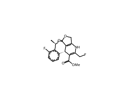 COC(=O)C1=C(CF)NC2=C(C(=O)OC2)[C@H]1c1cccc(F)c1[C@@H](C)F